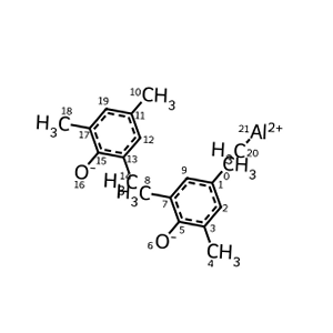 Cc1cc(C)c([O-])c(C)c1.Cc1cc(C)c([O-])c(C)c1.[CH3][Al+2]